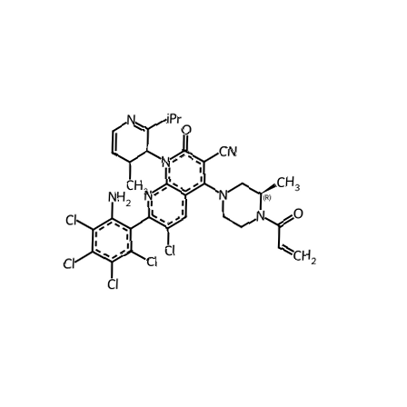 C=CC(=O)N1CCN(c2c(C#N)c(=O)n(C3C(C(C)C)=NC=CC3C)c3nc(-c4c(N)c(Cl)c(Cl)c(Cl)c4Cl)c(Cl)cc23)C[C@H]1C